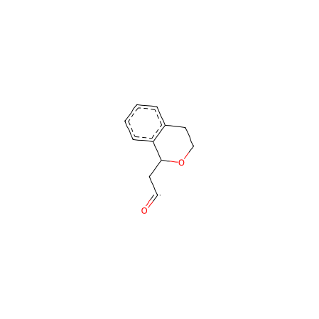 O=[C]CC1OCCc2ccccc21